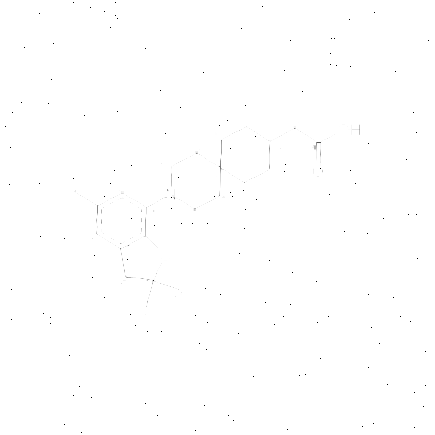 Cc1cc2c(c(N3CCC4(CCC(CC(=O)O)CC4)CC3)c1)OC(C)(C)C2